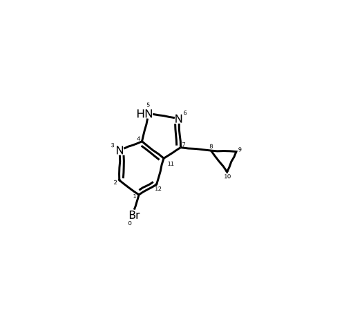 Brc1cnc2[nH]nc(C3CC3)c2c1